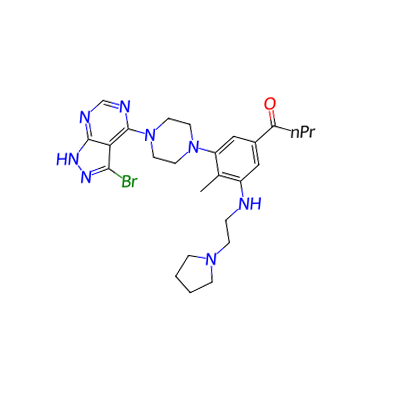 CCCC(=O)c1cc(NCCN2CCCC2)c(C)c(N2CCN(c3ncnc4[nH]nc(Br)c34)CC2)c1